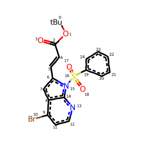 CC(C)(C)OC(=O)/C=C/c1cc2c(Br)ccnc2n1S(=O)(=O)c1ccccc1